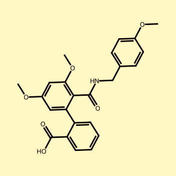 COc1ccc(CNC(=O)c2c(OC)cc(OC)cc2-c2ccccc2C(=O)O)cc1